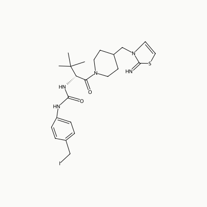 CC(C)(C)[C@@H](NC(=O)Nc1ccc(CI)cc1)C(=O)N1CCC(Cn2ccsc2=N)CC1